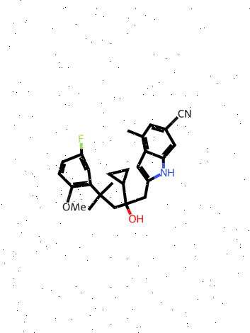 COc1ccc(F)cc1C(C)(C)CC(O)(Cc1cc2c(C)cc(C#N)cc2[nH]1)C1CC1